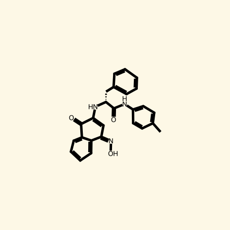 Cc1ccc(NC(=O)[C@@H](Cc2ccccc2)NC2=C/C(=N/O)c3ccccc3C2=O)cc1